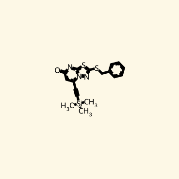 C[Si](C)(C)C#Cc1cc(=O)nc2sc(SCc3ccccc3)nn12